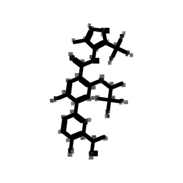 Cc1n[nH]c(C(F)(F)F)c1NC(=O)c1cc(F)c(-c2ccc(Cl)c(C(C)O)n2)cc1OC(C)C(F)(F)F